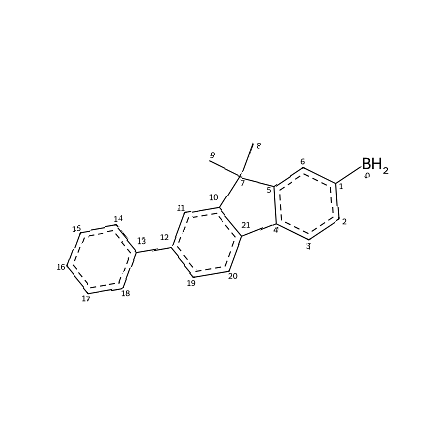 Bc1ccc2c(c1)C(C)(C)c1cc(-c3ccccc3)ccc1-2